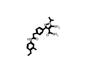 CCc1ccc(NC(=O)Cc2ccc(-c3nn(C(C)C)c(N)c3C(N)=O)cc2)cc1C